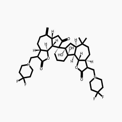 C=C1CC[C@H]2C(CN3CCC(F)(F)CC3)C(=O)O[C@@H]2[C@@H]2[C@H]1CC(=O)[C@]21CCC[C@]2(O)[C@@H]3[C@H]4OC(=O)C(CN5CCC(F)(F)CC5)[C@@H]4CCC(C)(C)[C@@H]3C[C@@]21O